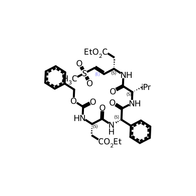 CCOC(=O)C[C@@H](/C=C/S(C)(=O)=O)NC(=O)[C@@H](NC(=O)[C@@H](NC(=O)[C@H](CC(=O)OCC)NC(=O)OCc1ccccc1)c1ccccc1)C(C)C